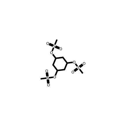 CS(=O)(=O)OC1CC(OS(C)(=O)=O)CC(OS(C)(=O)=O)C1